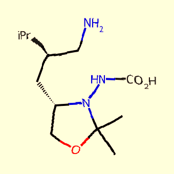 CC(C)[C@@H](CN)C[C@H]1COC(C)(C)N1NC(=O)O